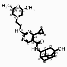 C[C@@H]1CN(CCNc2ncc(C(=O)NC3C4CC5CC3CC(O)(C5)C4)c(C3CC3)n2)C[C@H](C)O1